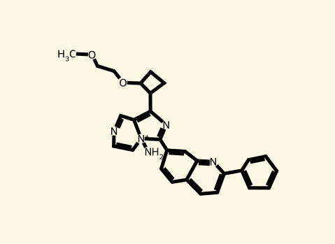 COCCOC1CCC1C1=C2C=NC=C[N+]2(N)C(c2ccc3ccc(-c4ccccc4)nc3c2)=N1